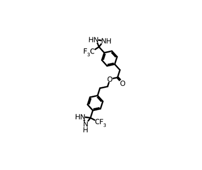 O=C(Cc1ccc(C2(C(F)(F)F)NN2)cc1)OCCc1ccc(C2(C(F)(F)F)NN2)cc1